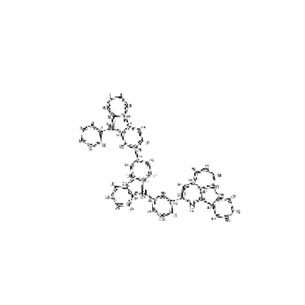 c1ccc(-n2c3ccccc3c3ccc(-c4ccc5c(c4)c4ccccc4n5-c4cccc(-c5cc6cccc7c6c(n5)-c5ccccc5-7)c4)cc32)cc1